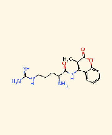 Cc1c(NC(=O)C(N)CCCNC(=N)N)c2ccccc2oc1=O